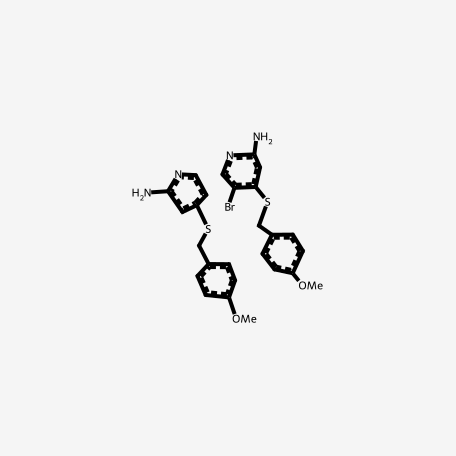 COc1ccc(CSc2cc(N)ncc2Br)cc1.COc1ccc(CSc2ccnc(N)c2)cc1